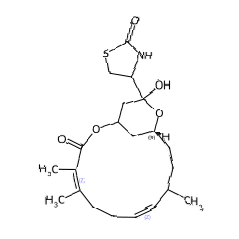 C/C1=C(\C)C(=O)OC2C[C@@H](CCC(C)/C=C\CC1)OC(O)(C1CSC(=O)N1)C2